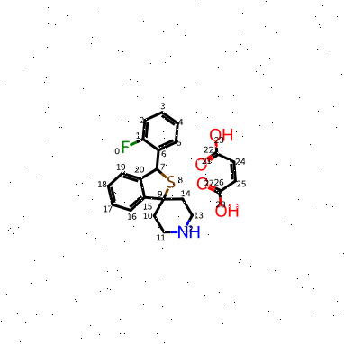 Fc1ccccc1C1SC2(CCNCC2)c2ccccc21.O=C(O)/C=C\C(=O)O